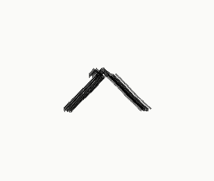 O.O.O.O.O.O.O.O.[Na+].[Na+].[Na+].[Na+].[Na+].[Na+].[Na+].[Na+].[Na+].[Na+].[Na+].[Na+].[Na+].[Na+].[Na+].[Na+].[Na+].[Na+].[Na+].[Na+].[Na+].[Na+].[Na+].[Na+].[Na+].[Na+].[Na+].[Na+].[Na+].[Na+].[Na+].[Na+].[Na+].[Na+].[Na+].[Na+].[Na+].[Na+].[Na+].[Na+].[Na+].[Na+].[Na+].[Na+].[Na+].[Na+].[Na+].[Na+].[Na+].[Na+].[Na+].[Na+].[Na+].[Na+].[Na+].[Na+].[Na+].[Na+].[Na+].[Na+].[Na+]